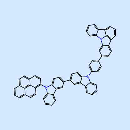 c1cc2ccc3ccc(-n4c5ccccc5c5cc(-c6ccc7c(c6)c6ccccc6n7-c6ccc(-c7ccc8c9cccc%10c%11ccccc%11n(c8c7)c%109)cc6)ccc54)c4ccc(c1)c2c34